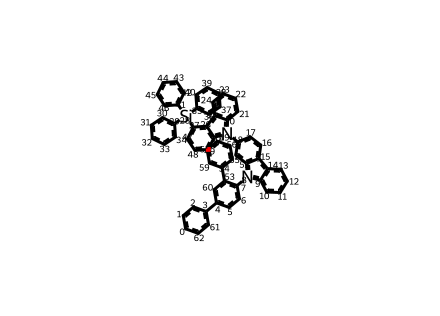 c1ccc(-c2ccc(-n3c4ccccc4c4ccc(-n5c6ccccc6c6c([Si](c7ccccc7)(c7ccccc7)c7ccccc7)cccc65)cc43)c(-c3ccccc3)c2)cc1